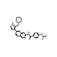 Cn1ncc(-c2ccc3cnc(NC(=O)c4ccc(OC(F)F)cc4)cc3c2)c1CN1CCCCC1